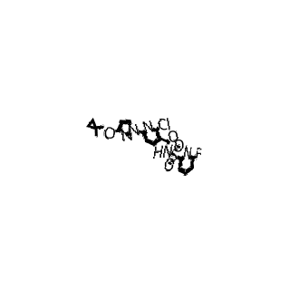 CC1(COc2ccn(-c3ccc(C(=O)NS(=O)(=O)c4cccc(F)n4)c(Cl)n3)n2)CC1